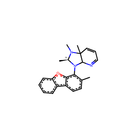 Cc1ccc2c(oc3ccccc32)c1N1C2N=CC=CC2(C)N(C)[C@@H]1C